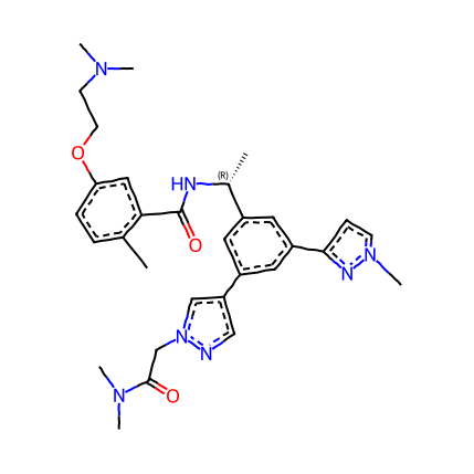 Cc1ccc(OCCN(C)C)cc1C(=O)N[C@H](C)c1cc(-c2cnn(CC(=O)N(C)C)c2)cc(-c2ccn(C)n2)c1